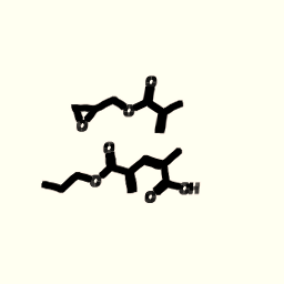 C=C(C)C(=O)OCC1CO1.C=C(C=C(C)C(=O)O)C(=O)OCCC